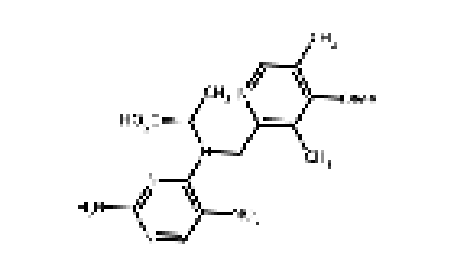 COc1c(C)cnc(CN(c2nc(N)ncc2[N+](=O)[O-])[C@H](C)C(=O)O)c1C